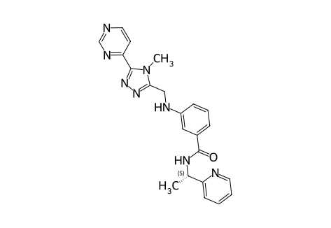 C[C@H](NC(=O)c1cccc(NCc2nnc(-c3ccncn3)n2C)c1)c1ccccn1